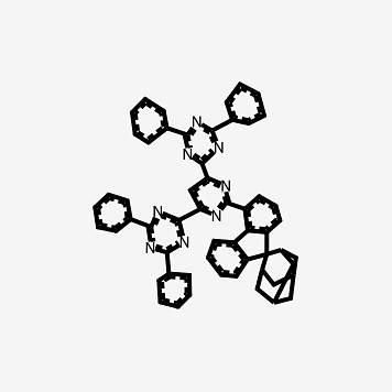 c1ccc(-c2nc(-c3ccccc3)nc(-c3cc(-c4nc(-c5ccccc5)nc(-c5ccccc5)n4)nc(-c4cccc5c4-c4ccccc4C54C5CC6CC(C5)CC4C6)n3)n2)cc1